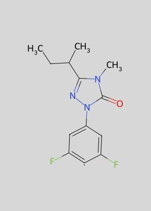 CCC(C)c1nn(-c2cc(F)[c]c(F)c2)c(=O)n1C